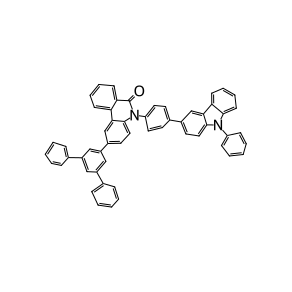 O=c1c2ccccc2c2cc(-c3cc(-c4ccccc4)cc(-c4ccccc4)c3)ccc2n1-c1ccc(-c2ccc3c(c2)c2ccccc2n3-c2ccccc2)cc1